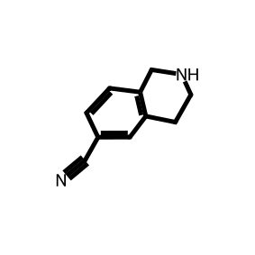 N#Cc1ccc2c(c1)CCNC2